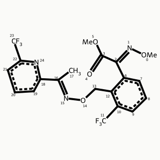 CO/N=C(/C(=O)OC)c1cccc(C(F)(F)F)c1CO/N=C(\C)c1cccc(C(F)(F)F)n1